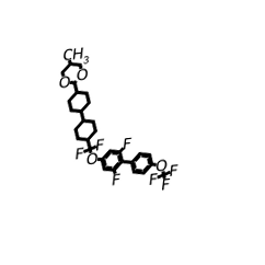 CC1COC(C2CCC(C3CCC(C(F)(F)Oc4cc(F)c(-c5ccc(OC(F)(F)F)cc5)c(F)c4)CC3)CC2)OC1